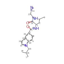 CCCC(NC(=O)c1ccc2c(ccn2CC(C)C)c1)C(=O)NCC#N